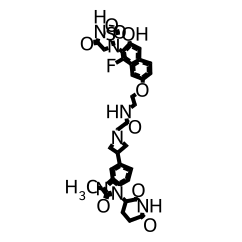 Cn1c(=O)n(C2CCC(=O)NC2=O)c2ccc(C3CN(CC(=O)NCCOc4ccc5cc(O)c(N6CC(=O)NS6(=O)=O)c(F)c5c4)C3)cc21